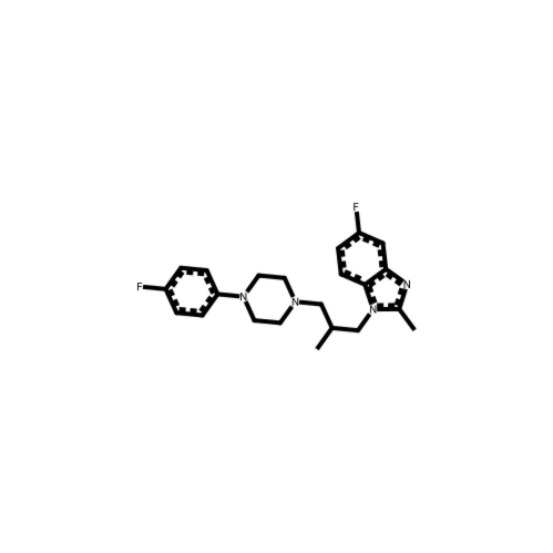 Cc1nc2cc(F)ccc2n1CC(C)CN1CCN(c2ccc(F)cc2)CC1